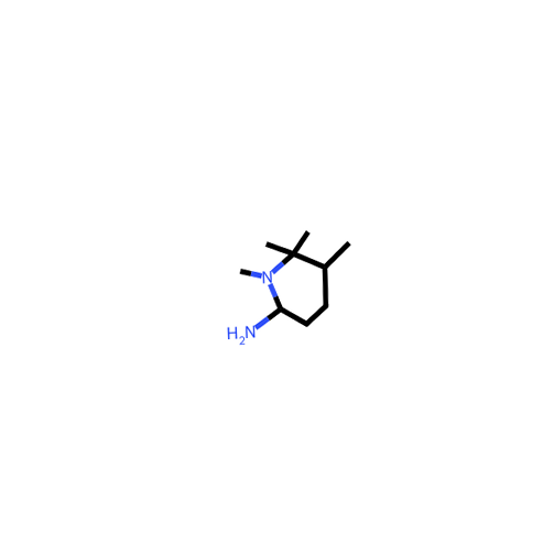 CC1CCC(N)N(C)C1(C)C